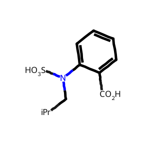 CC(C)CN(c1ccccc1C(=O)O)S(=O)(=O)O